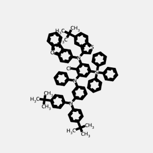 CC(C)(C)c1ccc(N(c2ccc(C(C)(C)C)cc2)c2cccc(N(c3ccccc3)c3cc([Si](c4ccccc4)(c4ccccc4)c4ccccc4)cc(N(c4ccc5oc6ccccc6c5c4)c4csc5ccc(C(C)(C)C)cc45)c3Cl)c2)cc1